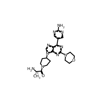 C[C@H](N)C(=O)N1CCC(n2cnc3c(-c4cnc(N)nc4)nc(N4CCOCC4)nc32)CC1